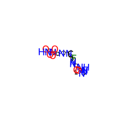 O=C1CCC(N2C(=O)c3ccc(N4CCC(CN5CCC([C@H](F)Cn6cc7cc(NC(=O)c8cnn9cccnc89)c(OCC8CC8)cc7n6)CC5)CC4)cc3C2=O)C(=O)N1